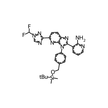 CC(C)(C)[Si](C)(C)OCc1ccc(-n2c(-c3cccnc3N)nc3ccc(-c4ncn(C(F)F)n4)nc32)cc1